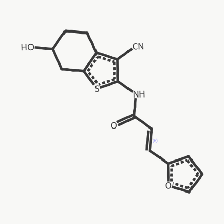 N#Cc1c(NC(=O)/C=C/c2ccco2)sc2c1CCC(O)C2